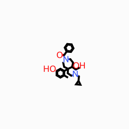 Cc1ccc(O)cc1C12CCN(C(=O)c3ccccc3)CCC1(O)C(C)N(CC1CC1)CC2